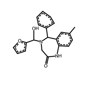 Cc1ccc2c(c1)C(c1ccccc1)N(C(O)c1ccco1)CC(=O)N2